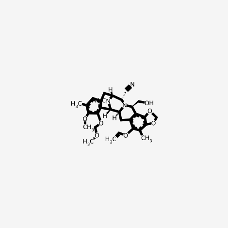 C=COc1c(C)c2c(c3c1C[C@H]1[C@@H]4c5c(cc(C)c(OC)c5OCOC)C[C@H]([C@H](C#N)N1[C@H]3CO)N4C)OCO2